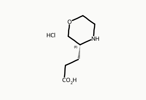 Cl.O=C(O)CC[C@@H]1COCCN1